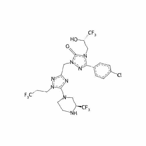 O=c1n(Cc2nc(N3CCN[C@H](C(F)(F)F)C3)n(CCC(F)(F)F)n2)nc(-c2ccc(Cl)cc2)n1C[C@H](O)C(F)(F)F